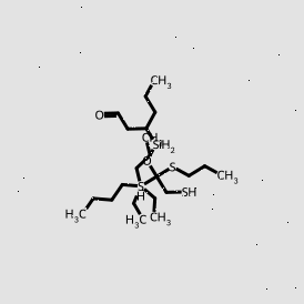 CCCC[SH](CC)(CC)(CCC)C(CS)(O[SiH2]C(CC=O)CCC)SCCC